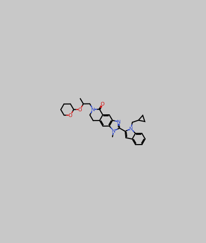 CC(CN1CCc2cc3c(cc2C1=O)nc(-c1cc2ccccc2n1CC1CC1)n3C)OC1CCCCO1